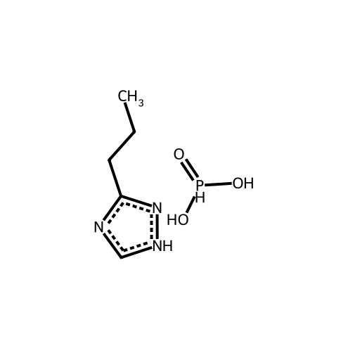 CCCc1nc[nH]n1.O=[PH](O)O